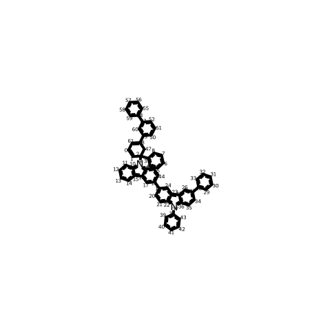 C1=CC(c2ccccc2)(n2c3ccccc3c3cc(-c4ccc5c(c4)c4cc(-c6ccccc6)ccc4n5-c4ccccc4)ccc32)CC(c2cccc(-c3ccccc3)c2)=C1